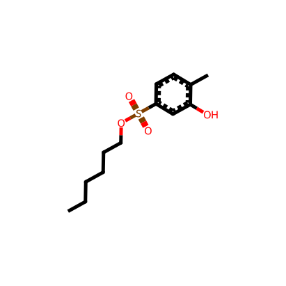 CCCCCCOS(=O)(=O)c1ccc(C)c(O)c1